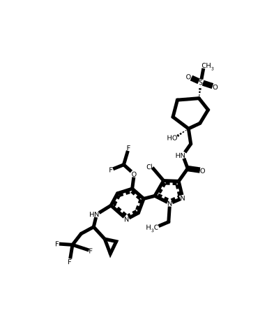 CCn1nc(C(=O)NC[C@]2(O)CC[C@@H](S(C)(=O)=O)CC2)c(Cl)c1-c1cnc(NC(CC(F)(F)F)C2CC2)cc1OC(F)F